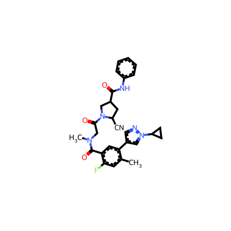 Cc1cc(F)c(C(=O)N(C)CC(=O)N2CC(C(=O)Nc3ccccc3)CC2C#N)cc1-c1cnn(C2CC2)c1